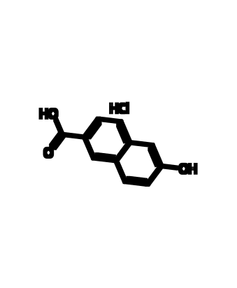 Cl.O=C(O)c1ccc2cc(O)ccc2c1